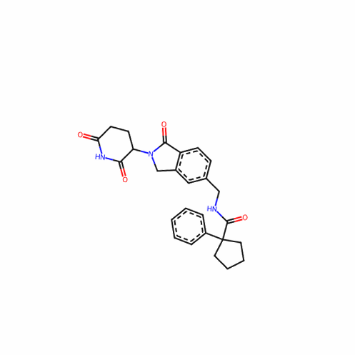 O=C1CCC(N2Cc3cc(CNC(=O)C4(c5ccccc5)CCCC4)ccc3C2=O)C(=O)N1